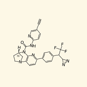 C#Cc1ccc(NC(=O)N2c3nc(-c4ccc(C(C5N=N5)C(F)(F)F)cc4)ccc3N3CC[C@H]2C3)nc1